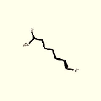 [CH2]CCC=CCCCCC(CC)CCC[CH2]